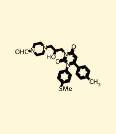 CSc1ccc(-n2c(-c3ccc(C)cc3)cc(=O)n(CC(O)CN3CCN(C=O)CC3)c2=O)cc1